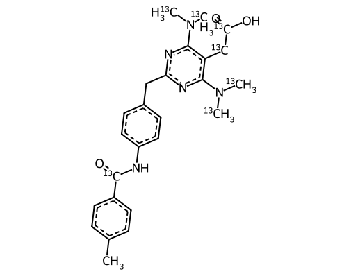 Cc1ccc([13C](=O)Nc2ccc(Cc3nc(N([13CH3])[13CH3])c([13CH2][13C](=O)O)c(N([13CH3])[13CH3])n3)cc2)cc1